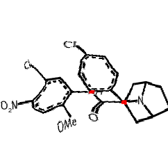 COc1cc([N+](=O)[O-])c(Cl)cc1NC(=O)C1CC2CCC(C1)N2Cc1ccc(Cl)cc1